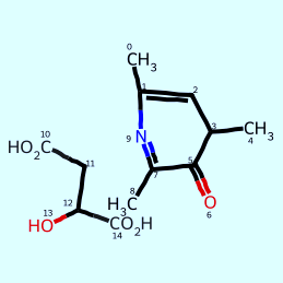 CC1=CC(C)C(=O)C(C)=N1.O=C(O)CC(O)C(=O)O